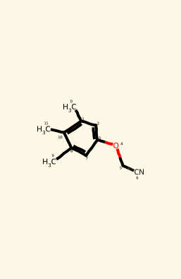 Cc1cc(OCC#N)cc(C)c1C